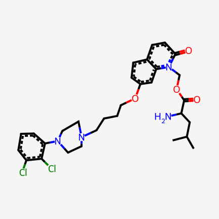 CC(C)CC(N)C(=O)OCn1c(=O)ccc2ccc(OCCCCN3CCN(c4cccc(Cl)c4Cl)CC3)cc21